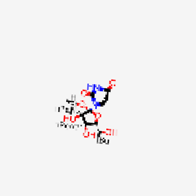 CCCCC[C@]1(O)[C@](O[SiH](C)C)(n2ccc(=O)[nH]c2=O)O[C@H](C(O)C(C)(C)C)[C@]1(O)CCCCC